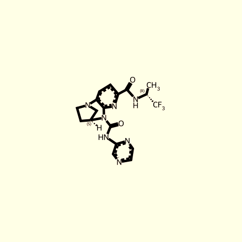 C[C@@H](NC(=O)c1ccc2c(n1)N(C(=O)Nc1cnccn1)[C@H]1CCN2C1)C(F)(F)F